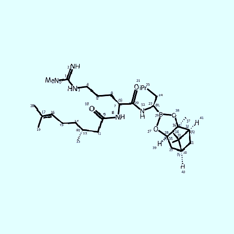 CNC(=N)NCCC[C@H](NC(=O)C[C@H](C)CCC=C(C)C)C(=O)N[C@@H](CC(C)C)B1O[C@@H]2C[C@@H]3C[C@@H](C3(C)C)[C@]2(C)O1